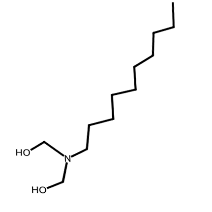 CCCCCCCCCCN(CO)CO